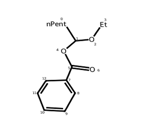 CCCCCC(OCC)OC(=O)c1ccccc1